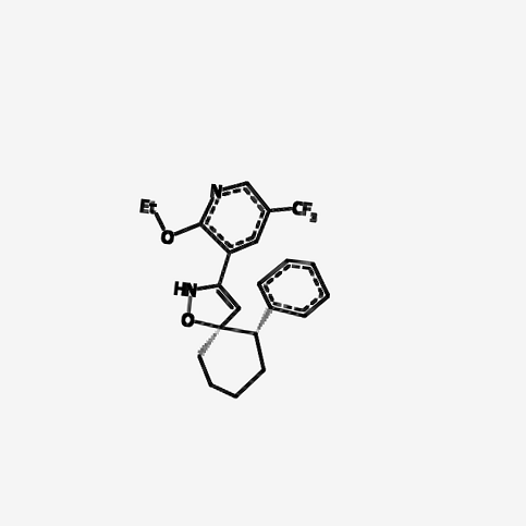 CCOc1ncc(C(F)(F)F)cc1C1=C[C@]2(CCCC[C@H]2c2ccccc2)ON1